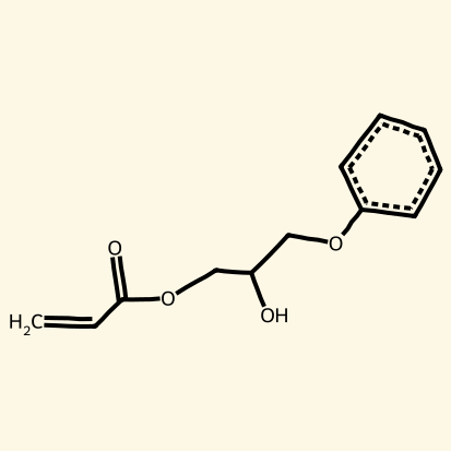 C=CC(=O)OCC(O)COc1ccccc1